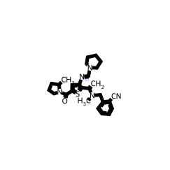 C=C(c1sc(C(=O)N2CCCC2C)cc1/N=C/N1CCCCC1)N(C)Cc1ccccc1C#N